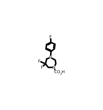 O=C(O)N1CCN(c2ccc(F)cc2)CC(F)(F)C1